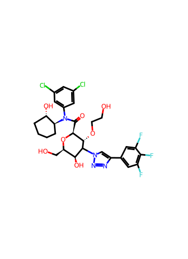 O=C([C@@H]1O[C@H](CO)[C@H](O)C(n2cc(-c3cc(F)c(F)c(F)c3)nn2)[C@H]1OCCO)N(c1cc(Cl)cc(Cl)c1)[C@H]1CCCC[C@@H]1O